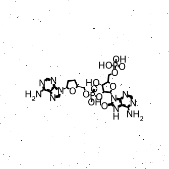 Nc1ncnc2c1ncn2[C@H]1CC[C@@H](COP(=O)(O)OC2[C@H](O)C(COP(=O)(O)O)O[C@H]2n2c(=O)[nH]c3c(N)ncnc32)O1